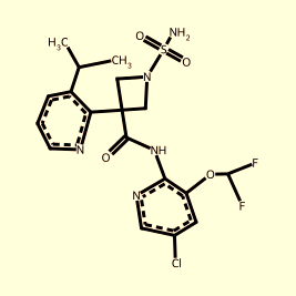 CC(C)c1cccnc1C1(C(=O)Nc2ncc(Cl)cc2OC(F)F)CN(S(N)(=O)=O)C1